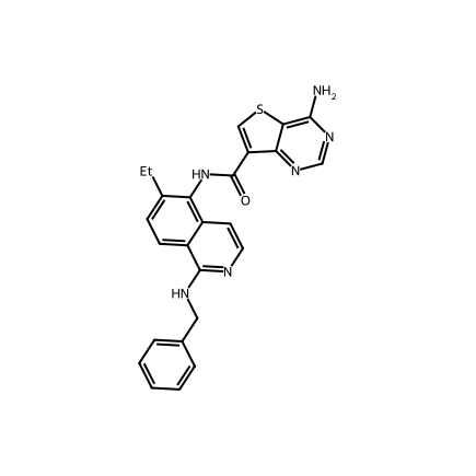 CCc1ccc2c(NCc3ccccc3)nccc2c1NC(=O)c1csc2c(N)ncnc12